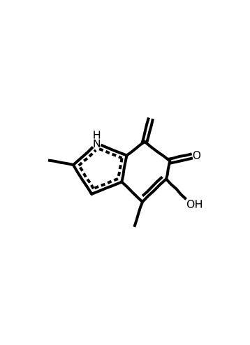 C=C1C(=O)C(O)=C(C)c2cc(C)[nH]c21